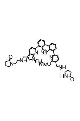 COc1nc(-c2cccc(-c3cccc(-c4ccc5c(CNCCN6CCCC6=O)cn(C)c5n4)c3Cl)c2Cl)ccc1CNC[C@@H]1CCC(=O)N1